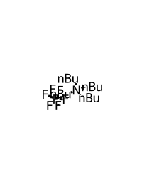 CCCC[N+](CCCC)(CCCC)CCCC.F[P-](F)(F)(F)(F)F